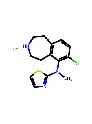 CN(c1nccs1)c1c(Cl)ccc2c1CCNCC2.Cl